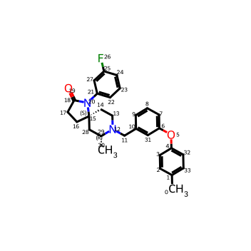 Cc1ccc(Oc2cccc(CN3CC[C@@]4(CCC(=O)N4c4cccc(F)c4)C[C@H]3C)c2)cc1